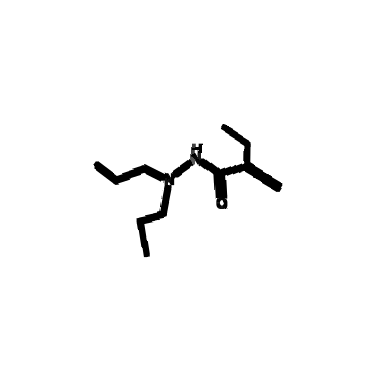 C=C(CC)C(=O)NN(CCC)CCC